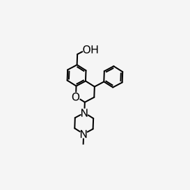 CN1CCN(C2CC(c3ccccc3)c3cc(CO)ccc3O2)CC1